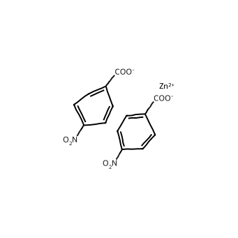 O=C([O-])c1ccc([N+](=O)[O-])cc1.O=C([O-])c1ccc([N+](=O)[O-])cc1.[Zn+2]